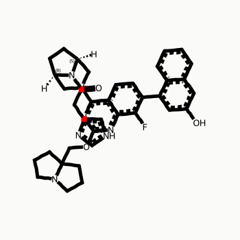 O=C(Cc1c[nH]cn1)N1[C@@H]2CC[C@H]1CN(c1nc(OCC34CCCN3CCC4)nc3c(F)c(-c4cc(O)cc5ccccc45)ccc13)C2